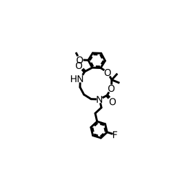 COc1cccc2c1C(=O)NCCCN(CCc1cccc(F)c1)C(=O)OC(C)(C)O2